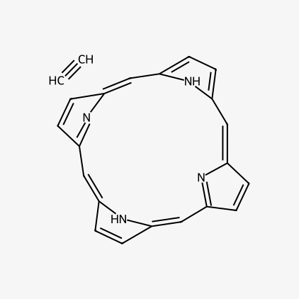 C#C.C1=Cc2cc3ccc(cc4nc(cc5ccc(cc1n2)[nH]5)C=C4)[nH]3